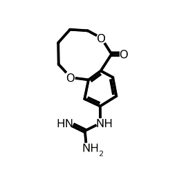 N=C(N)Nc1ccc2c(c1)OCCCCOC2=O